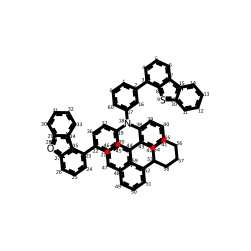 c1cc(-c2cccc3c2sc2ccccc23)cc(N(c2ccc(-c3cccc4oc5ccccc5c34)cc2)c2ccccc2-c2cccc3cccc(C4CCCCC4)c23)c1